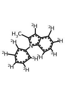 [2H]c1c([2H])c([2H])c(-n2c(C)c([2H])c3c([2H])c([2H])c([2H])c([2H])c32)c([2H])c1[2H]